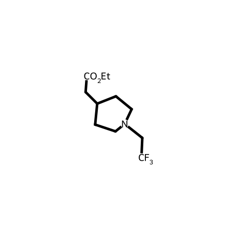 CCOC(=O)CC1CCN(CC(F)(F)F)CC1